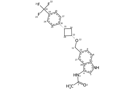 CC(=O)Nc1c[nH]c2ccc(CO[C@H]3C[C@@H](c4ccc(C(F)(F)F)cc4)C3)cc12